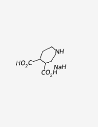 O=C(O)C1CCNCC1C(=O)O.[NaH]